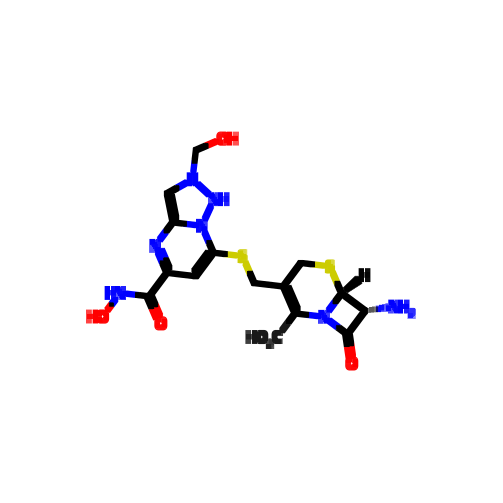 N[C@@H]1C(=O)N2C(C(=O)O)=C(CSC3=CC(C(=O)NO)=NC4=CN(CO)NN43)CS[C@H]12